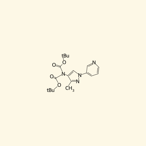 Cc1nn(-c2cccnc2)cc1N(C(=O)OC(C)(C)C)C(=O)OC(C)(C)C